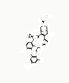 COc1ccc(CC2(NC(=O)C3=C(c4cnc(OCCOc5c(Cl)cc(C)cc5Cl)s4)CC4CN(C(=O)OC(C)(C)C)C[C@H]3N4C(=O)O)CC2)c(Cl)c1OC